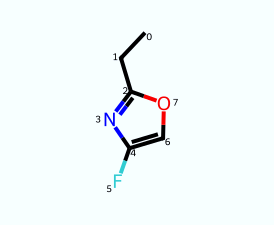 CCc1nc(F)co1